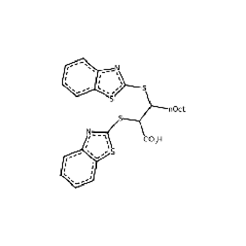 CCCCCCCCC(Sc1nc2ccccc2s1)C(Sc1nc2ccccc2s1)C(=O)O